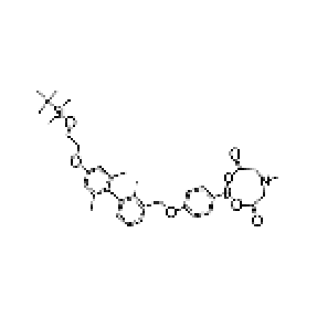 Cc1cc(OCCO[Si](C)(C)C(C)(C)C)cc(C)c1-c1cccc(COc2ccc(B3OC(=O)CN(C)CC(=O)O3)cc2)c1C